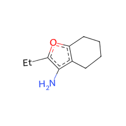 CCc1oc2c(c1N)CCCC2